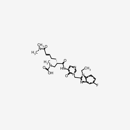 CCn1c(Cn2cncc(NC(=O)[C@@H](CC/C=C/C(=O)N(C)C)CN(C)C(=O)O)c2=O)nc2cc(F)ccc21